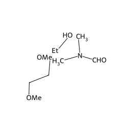 CCO.CN(C)C=O.COCCOC